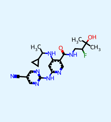 CC(Nc1cc(Nc2ncc(C#N)cn2)ncc1C(=O)NCC(F)C(C)(C)O)C1CC1